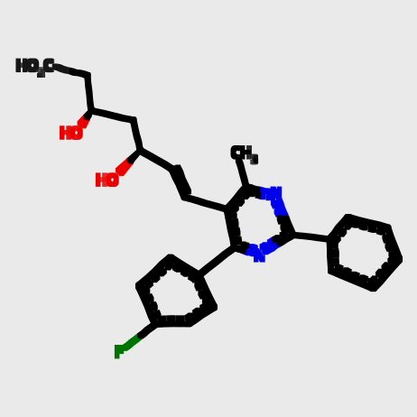 Cc1nc(-c2ccccc2)nc(-c2ccc(F)cc2)c1C=C[C@@H](O)C[C@@H](O)CC(=O)O